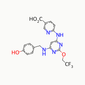 O=C(O)c1ccc(Nc2cc(NCc3ccc(O)cc3)nc(OCC(F)(F)F)n2)nc1